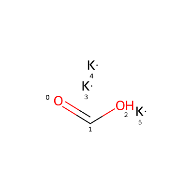 O=CO.[K].[K].[K]